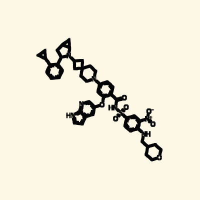 O=C(NS(=O)(=O)c1ccc(NCC2CCOCC2)c([N+](=O)[O-])c1)c1ccc(N2CCC3(CC2)CC(N2C(c4ccccc4C4CC4)CC4CC42)C3)cc1Oc1cnc2[nH]ccc2c1